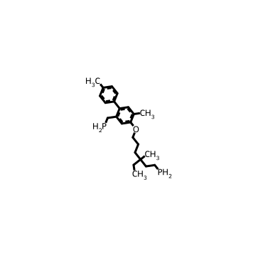 CCC(C)(CCP)CCCOc1cc(CP)c(-c2ccc(C)cc2)cc1C